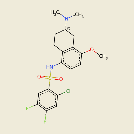 COc1ccc(NS(=O)(=O)c2cc(F)c(F)cc2Cl)c2c1C[C@@H](N(C)C)CC2